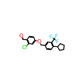 O=Cc1ccc(OCc2ccc(C3CCCC3)c(C(F)(F)F)c2)cc1Cl